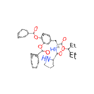 CCC(CC)OC(=O)[C@H](Cc1ccc(OC(=O)c2ccccc2)c(OC(=O)c2ccccc2)c1)NC(=O)C1CCCN1